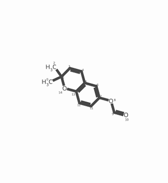 CC1(C)C=Cc2cc(OC=O)ccc2O1